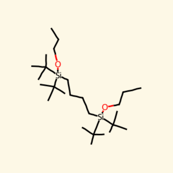 CCCO[Si](CCCC[Si](OCCC)(C(C)(C)C)C(C)(C)C)(C(C)(C)C)C(C)(C)C